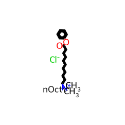 CCCCCCCC[N+](C)(C)CCCCCCCCCCC(=O)Oc1ccccc1.[Cl-]